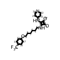 O=c1c(NCCCCCCOc2ccc(C(F)(F)F)cc2)c(Nc2ccncc2)c1=O